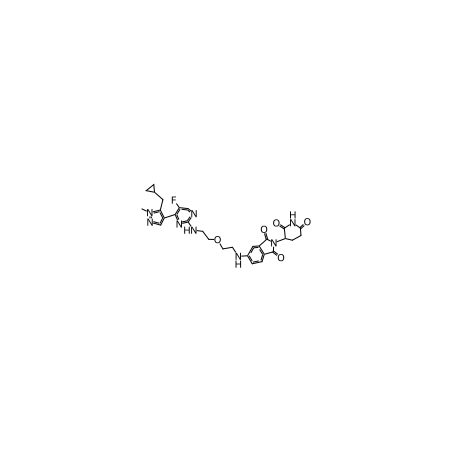 Cn1ncc(-c2nc(NCCOCCNc3ccc4c(c3)C(=O)N(C3CCC(=O)NC3=O)C4=O)ncc2F)c1CC1CC1